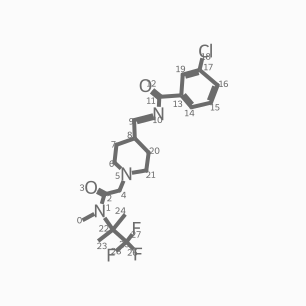 CN(C(=O)CN1CCC(/C=N/C(=O)c2cccc(Cl)c2)CC1)C(C)(C)C(F)(F)F